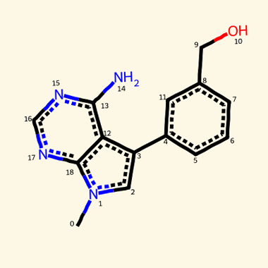 Cn1cc(-c2cccc(CO)c2)c2c(N)ncnc21